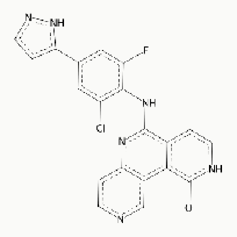 O=c1[nH]ccc2c(Nc3c(F)cc(-c4ccn[nH]4)cc3Cl)nc3ccncc3c12